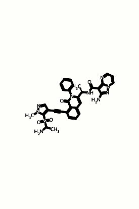 CC(N)S(=O)(=O)c1c(C#Cc2cccc3cc([C@@H](C)NC(=O)c4c(N)nn5cccnc45)n(-c4ccccc4)c(=O)c23)cnn1C